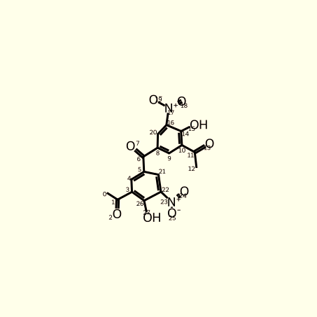 CC(=O)c1cc(C(=O)c2cc(C(C)=O)c(O)c([N+](=O)[O-])c2)cc([N+](=O)[O-])c1O